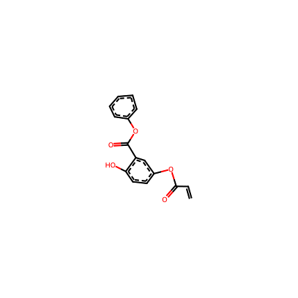 C=CC(=O)Oc1ccc(O)c(C(=O)Oc2ccccc2)c1